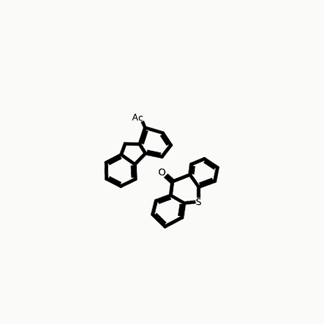 CC(=O)c1cccc2c1Cc1ccccc1-2.O=c1c2ccccc2sc2ccccc12